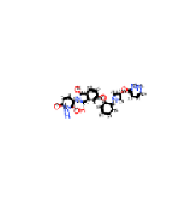 O=C1CCC(N2Cc3cc(O[C@@H]4CCCC[C@@H]4N4CC(Oc5cccnn5)C4)ccc3C2=O)C(O)N1